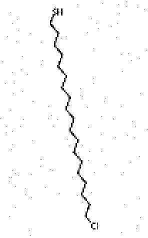 SCCCCCCCCCCCCCCCCCCCCl